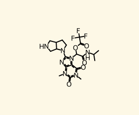 CC(C)NC(=O)C(OC(=O)C(F)(F)F)n1c(N2CCC3CNCC32)nc2c1c(=O)n(C)c(=O)n2C